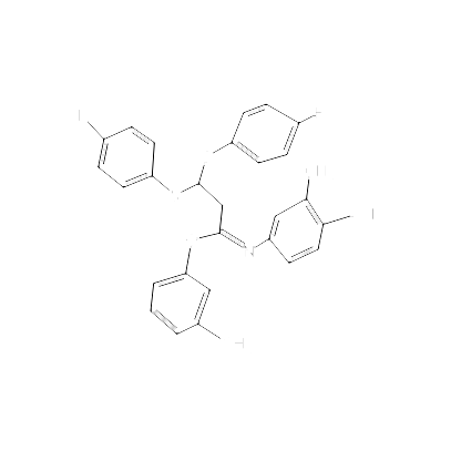 Cc1cccc(OC(CC(Sc2ccc(F)cc2)Sc2ccc(F)cc2)=Nc2ccc(C)c(C)c2)c1